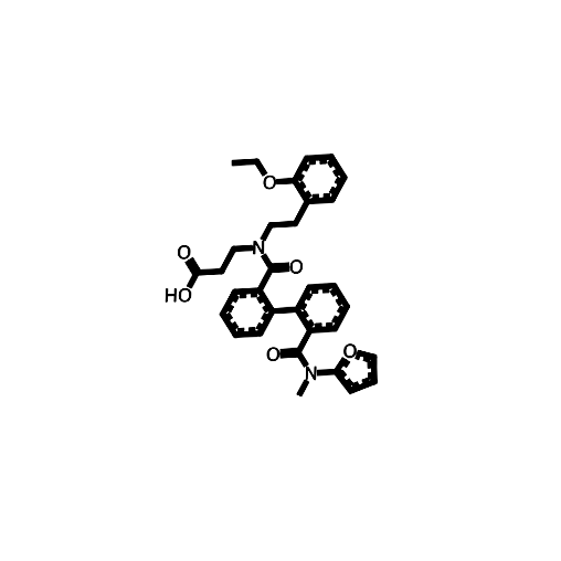 CCOc1ccccc1CCN(CCC(=O)O)C(=O)c1ccccc1-c1ccccc1C(=O)N(C)c1ccco1